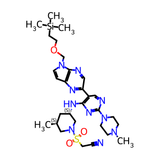 C[C@H]1C[C@H](Nc2nc(N3CCN(C)CC3)ncc2-c2cnc3c(ccn3COCC[Si](C)(C)C)n2)CN(S(=O)(=O)CC#N)C1